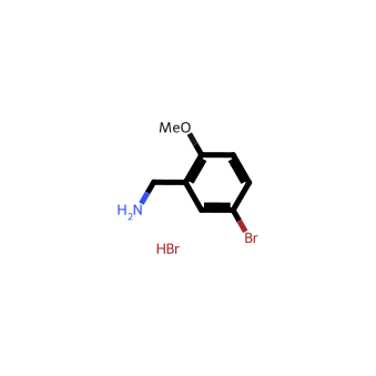 Br.COc1ccc(Br)cc1CN